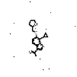 CC(=O)c1cnn2c(C3CC3)c(OCC3CCCO3)ccc12